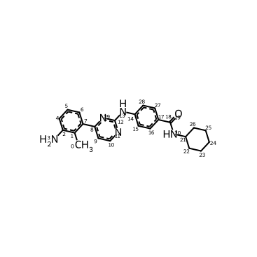 Cc1c(N)cccc1-c1ccnc(Nc2ccc(C(=O)NC3CCCCC3)cc2)n1